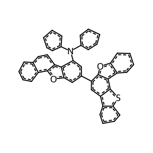 c1ccc(N(c2ccccc2)c2cc(-c3cc4c5ccccc5sc4c4c3oc3ccccc34)cc3oc4c5ccccc5ccc4c23)cc1